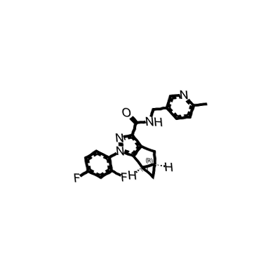 Cc1ccc(CNC(=O)c2nn(-c3ccc(F)cc3F)c3c2C[C@H]2C[C@@H]32)cn1